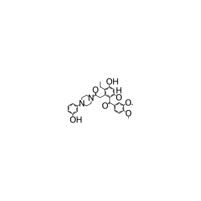 CCc1c(O)cc(O)c(C(=O)c2ccc(OC)c(OC)c2)c1CC(=O)N1CCN(c2cccc(O)c2)CC1